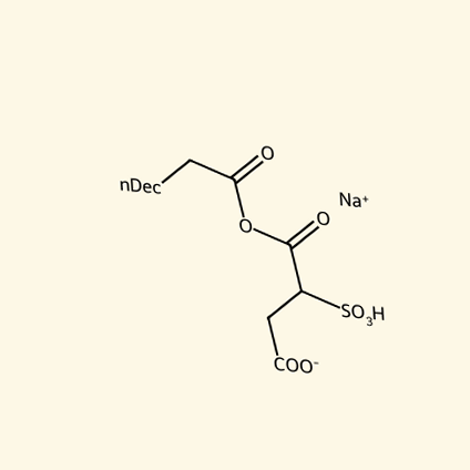 CCCCCCCCCCCC(=O)OC(=O)C(CC(=O)[O-])S(=O)(=O)O.[Na+]